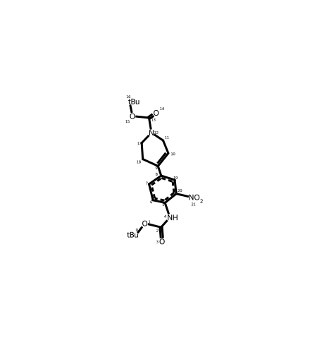 CC(C)(C)OC(=O)Nc1ccc(C2=CCN(C(=O)OC(C)(C)C)CC2)cc1[N+](=O)[O-]